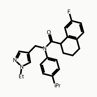 CCn1cc(CN(C(=O)C2CCCc3ccc(F)cc32)c2ccc(C(C)C)cc2)cn1